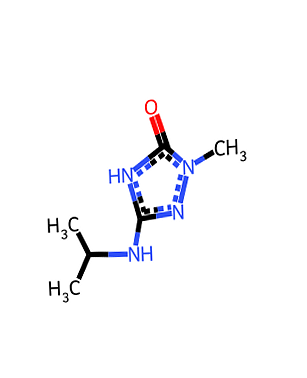 CC(C)Nc1nn(C)c(=O)[nH]1